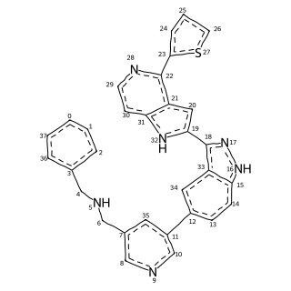 c1ccc(CNCc2cncc(-c3ccc4[nH]nc(-c5cc6c(-c7cccs7)nccc6[nH]5)c4c3)c2)cc1